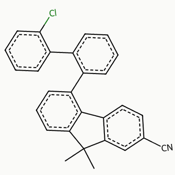 CC1(C)c2cc(C#N)ccc2-c2c(-c3ccccc3-c3ccccc3Cl)cccc21